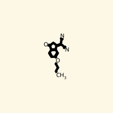 CCCCOc1ccc2c(c1)C(=C(C#N)C#N)CC2=O